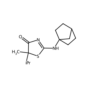 CC(C)C1(C)SC(NC23CCC(CC2)C3)=NC1=O